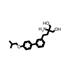 CC(C)COc1ccc(-c2cccc(CCC(N)(CO)CO)c2)cc1